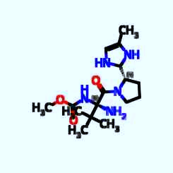 COC(=O)N[C@](N)(C(=O)N1CCC[C@H]1C1NC=C(C)N1)C(C)(C)C